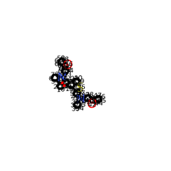 c1ccc(-c2ccccc2N(c2ccc3cc4c5c(cccc5c3c2)Sc2cc(N(c3ccccc3)c3ccc5c(c3)oc3ccccc35)ccc2-4)c2ccc3oc4ccccc4c3c2)cc1